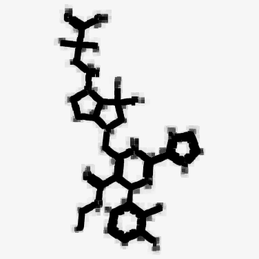 CCOC(=O)C1=C(CN2CC(F)(F)C3C2CCN3NCC(C)(C)C(=O)O)NC(c2nccs2)=N[C@H]1c1cccc(F)c1C